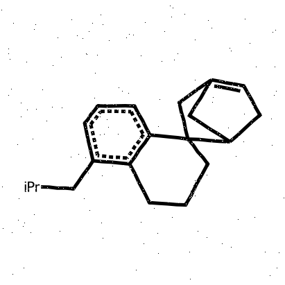 CC(C)Cc1cccc2c1CCCC21CC2=CCC1C2